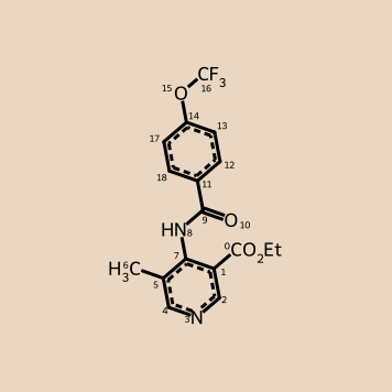 CCOC(=O)c1cncc(C)c1NC(=O)c1ccc(OC(F)(F)F)cc1